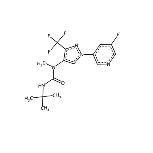 CN(C(=O)NC(C)(C)C)c1cn(-c2cncc(F)c2)nc1C(F)(F)F